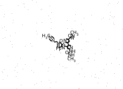 CCNC(=O)Nc1cc(-c2nc(C(F)(F)F)c(C(=O)NCCN3CCN(C)CC3)s2)c(-c2cncc(-c3nnc(C)o3)c2)cn1